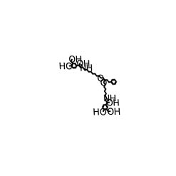 OCc1cc(C(O)CNCCCCCCCCOCC(CCc2ccccc2)OCCCCCCNCC(O)c2ccc(O)c(CO)c2)ccc1O